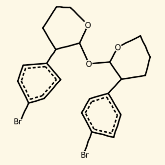 Brc1ccc(C2CCCOC2OC2OCCCC2c2ccc(Br)cc2)cc1